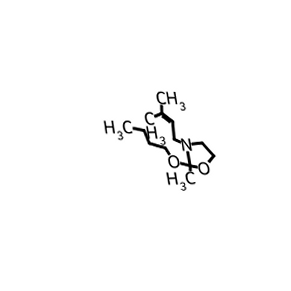 CCCCOC1(C)OCCN1CC=C(C)C